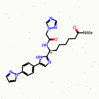 CNC(=O)CCCCC[C@H](NC(=O)Cn1cncn1)c1ncc(-c2ccc(-n3cccn3)cc2)[nH]1